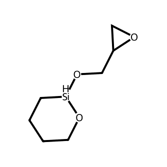 C1CC[SiH](OCC2CO2)OC1